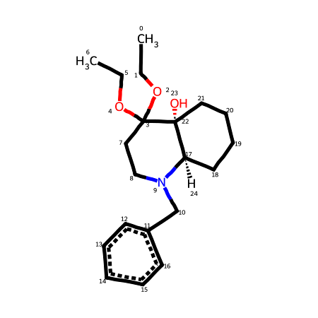 CCOC1(OCC)CCN(Cc2ccccc2)[C@@H]2CCCC[C@@]21O